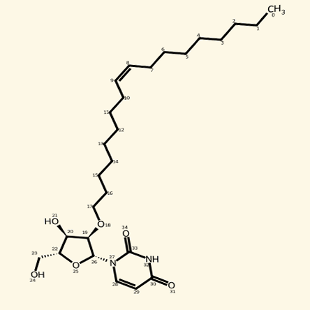 CCCCCCCC/C=C\CCCCCCCCO[C@@H]1[C@H](O)[C@@H](CO)O[C@H]1n1ccc(=O)[nH]c1=O